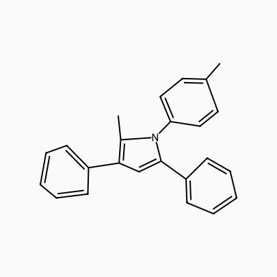 Cc1ccc(-n2c(-c3ccccc3)cc(-c3ccccc3)c2C)cc1